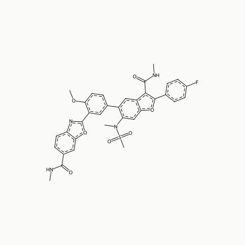 CNC(=O)c1ccc2nc(-c3cc(-c4cc5c(C(=O)NC)c(-c6ccc(F)cc6)oc5cc4N(C)S(C)(=O)=O)ccc3OC)oc2c1